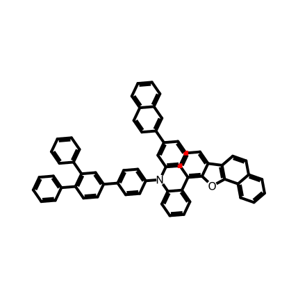 c1ccc(-c2ccc(-c3ccc(N(c4cccc(-c5ccc6ccccc6c5)c4)c4ccccc4-c4cccc5c4oc4c6ccccc6ccc54)cc3)cc2-c2ccccc2)cc1